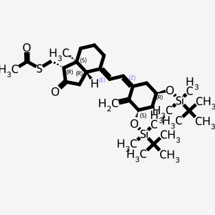 C=C1/C(=C\C=C2/CCC[C@]3(C)[C@@H](CSC(C)=O)C(=O)C[C@@H]23)C[C@@H](O[Si](C)(C)C(C)(C)C)C[C@@H]1O[Si](C)(C)C(C)(C)C